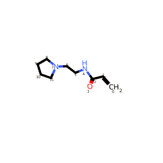 C=[C]C(=O)NCCN1CCCC1